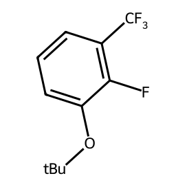 CC(C)(C)Oc1cccc(C(F)(F)F)c1F